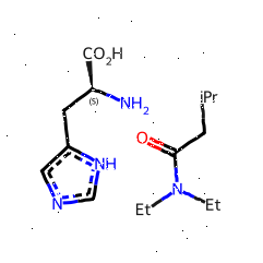 CCN(CC)C(=O)CC(C)C.N[C@@H](Cc1cnc[nH]1)C(=O)O